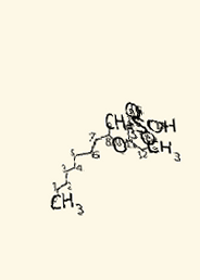 CCCCCCCCC(C)OC(CC)CS(=O)(=O)O